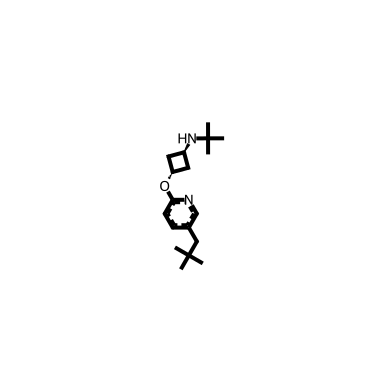 CC(C)(C)Cc1ccc(O[C@H]2C[C@H](NC(C)(C)C)C2)nc1